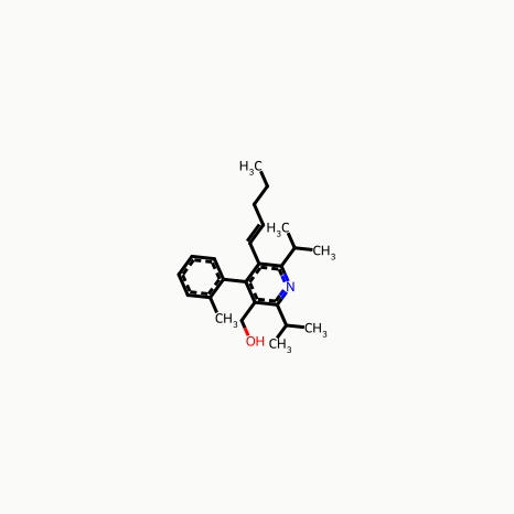 CCC/C=C/c1c(C(C)C)nc(C(C)C)c(CO)c1-c1ccccc1C